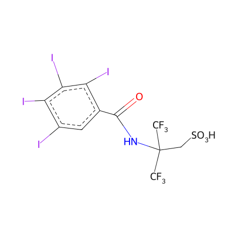 O=C(NC(CS(=O)(=O)O)(C(F)(F)F)C(F)(F)F)c1cc(I)c(I)c(I)c1I